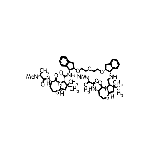 CN[C@@H](C)C(=O)N[C@H]1CCS[C@H]2CC(C)(C)C(CN[C@H]3c4ccccc4C[C@H]3OCCOCCO[C@@H]3Cc4ccccc4[C@@H]3NC(=O)[C@H]3N4C(=O)[C@@H](NC(=O)[C@H](C)NC)CCS[C@H]4CC3(C)C)N2C1=O